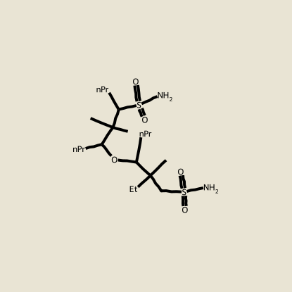 CCCC(OC(CCC)C(C)(C)C(CCC)S(N)(=O)=O)C(C)(CC)CS(N)(=O)=O